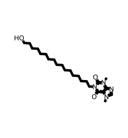 Cn1cnc2c1c(=O)n(CCCCCCCCCCCCCCCCCO)c(=O)n2C